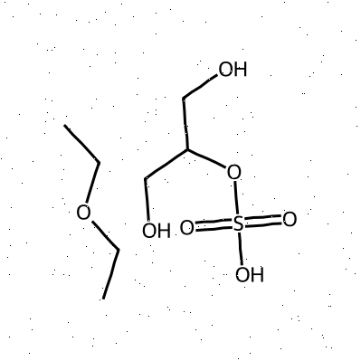 CCOCC.O=S(=O)(O)OC(CO)CO